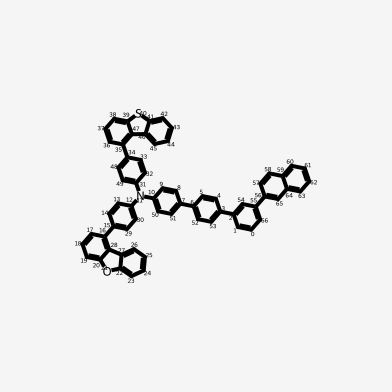 c1cc(-c2ccc(-c3ccc(N(c4ccc(-c5cccc6oc7ccccc7c56)cc4)c4ccc(-c5cccc6sc7ccccc7c56)cc4)cc3)cc2)cc(-c2ccc3ccccc3c2)c1